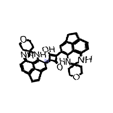 CC1(Nc2c3c4c(c/c2=C2\C(=O)C(c5cc6c7c(ccc8c7c5NC5(CCOCC5)N8)CC6)=C2O)CCC=4C=CC3=N)CCOCC1